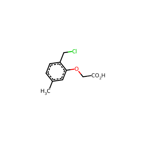 Cc1ccc(CCl)c(OCC(=O)O)c1